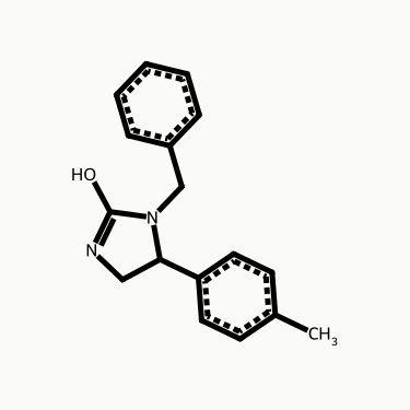 Cc1ccc(C2CN=C(O)N2Cc2ccccc2)cc1